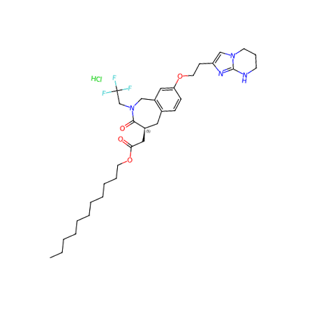 CCCCCCCCCCCOC(=O)C[C@@H]1Cc2ccc(OCCc3cn4c(n3)NCCC4)cc2CN(CC(F)(F)F)C1=O.Cl